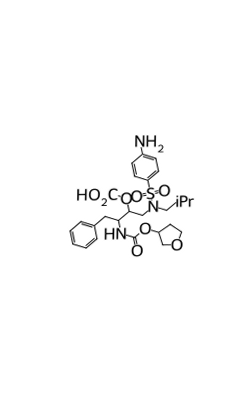 CC(C)CN(CC(OC(=O)O)C(Cc1ccccc1)NC(=O)OC1CCOC1)S(=O)(=O)c1ccc(N)cc1